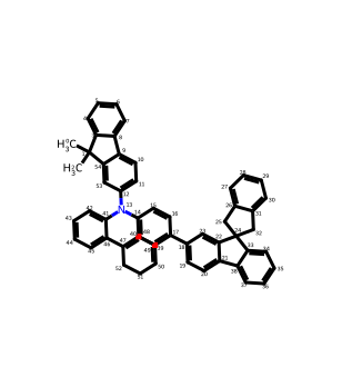 CC1(C)c2ccccc2-c2ccc(N(c3ccc(-c4ccc5c(c4)C4(Cc6ccccc6C4)c4ccccc4-5)cc3)c3ccccc3C3=CC=CCC3)cc21